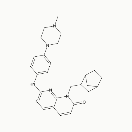 CN1CCN(c2ccc(Nc3ncc4ccc(=O)n(CC5CC6CCC5C6)c4n3)cc2)CC1